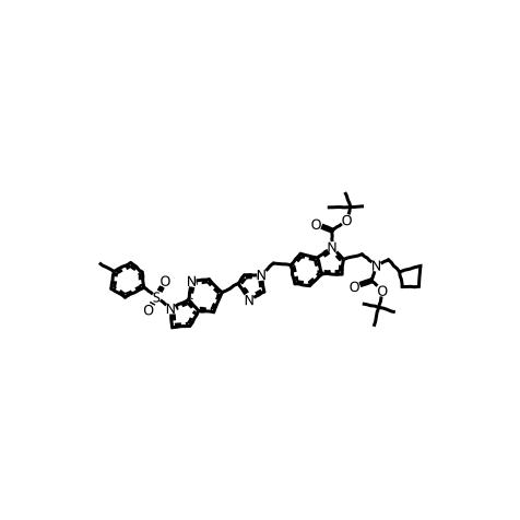 Cc1ccc(S(=O)(=O)n2ccc3cc(-c4cn(Cc5ccc6cc(CN(CC7CCC7)C(=O)OC(C)(C)C)n(C(=O)OC(C)(C)C)c6c5)cn4)cnc32)cc1